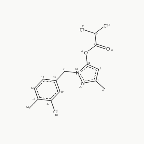 Cc1cc(OC(=O)C(Cl)Cl)n(Cc2ccc(C)c(Cl)c2)n1